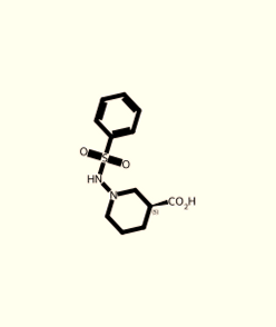 O=C(O)[C@H]1CCCN(NS(=O)(=O)c2ccccc2)C1